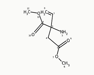 C=CC(N)(CC(=O)OC)C(=O)OC